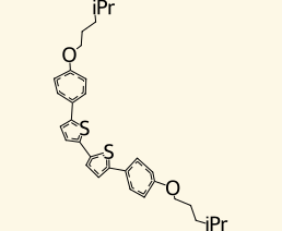 CC(C)CCCOc1ccc(-c2ccc(-c3ccc(-c4ccc(OCCCC(C)C)cc4)s3)s2)cc1